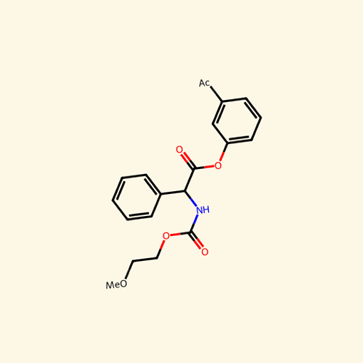 [CH2]C(=O)c1cccc(OC(=O)C(NC(=O)OCCOC)c2ccccc2)c1